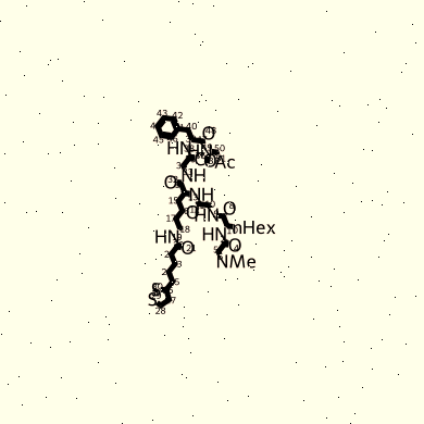 CCCCCCC(NC(=O)CNC)C(=O)NCC(=O)NC(CCCCNC(=O)CCCCC1CCSS1)C(=O)NCC(=C=O)NC(Cc1ccccc1)C(=O)NCC(C)=O